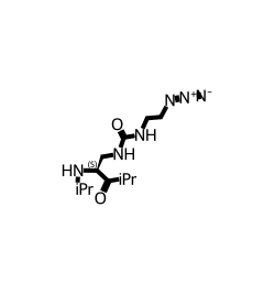 CC(C)N[C@@H](CNC(=O)NCCN=[N+]=[N-])C(=O)C(C)C